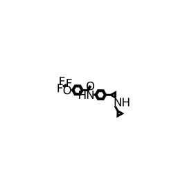 O=C(Nc1ccc(C2CC2NCC2CC2)cc1)c1ccc(OC(F)(F)F)cc1